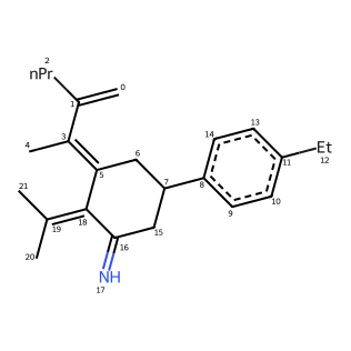 C=C(CCC)/C(C)=C1\CC(c2ccc(CC)cc2)CC(=N)C1=C(C)C